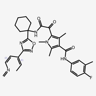 C=N/C=C\C(=C/C)c1noc(C2(NC(=O)C(=O)c3c(C)c(C(=O)Nc4ccc(F)c(C)c4)c(C)n3C)CCCCC2)n1